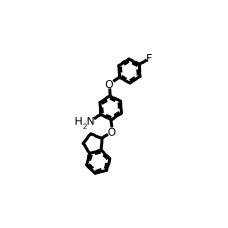 Nc1cc(Oc2ccc(F)cc2)ccc1OC1CCc2ccccc21